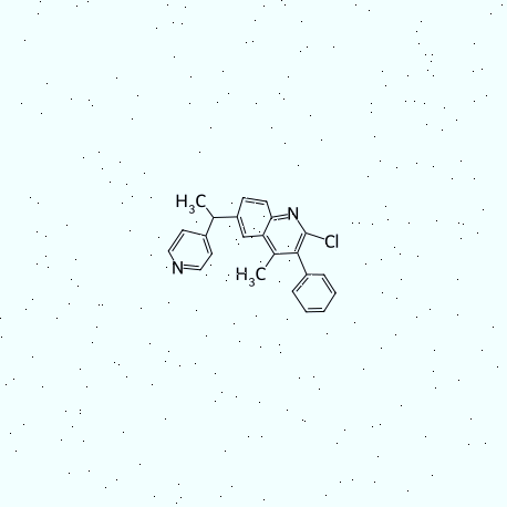 Cc1c(-c2ccccc2)c(Cl)nc2ccc(C(C)c3ccncc3)cc12